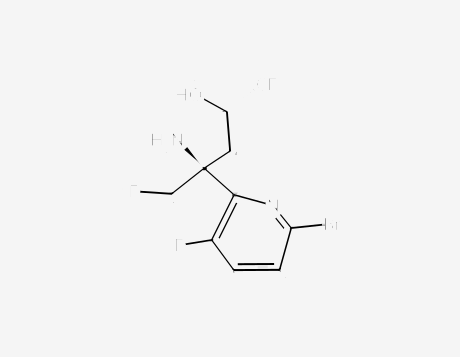 N[C@@](CF)(C[C@H](O)C(F)(F)F)c1nc(Br)ccc1F